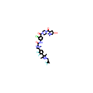 Cc1nn(CC2CC2(F)F)c(C)c1-c1ccc(-c2cnc(C(=O)Nc3ccc(C(=O)N4CCN(C(=O)C5C[C@@H](O)C[N+]5(C)C)CC4)c(Cl)c3)n2C)c(F)c1F